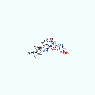 COc1cc(OC)c(NC(=O)Cn2c(=O)n(CC(=O)NC3CCC(O)CC3)c(=O)c3ccccc32)cc1Cl